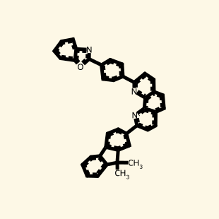 CC1(C)c2ccccc2-c2ccc(-c3ccc4ccc5ccc(-c6ccc(-c7nc8ccccc8o7)cc6)nc5c4n3)cc21